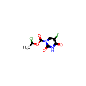 CC(Cl)OC(=O)n1cc(F)c(=O)[nH]c1=O